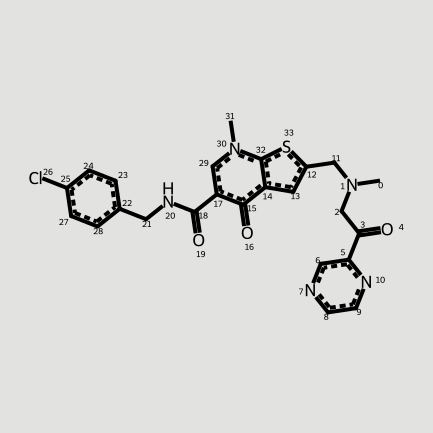 CN(CC(=O)c1cnccn1)Cc1cc2c(=O)c(C(=O)NCc3ccc(Cl)cc3)cn(C)c2s1